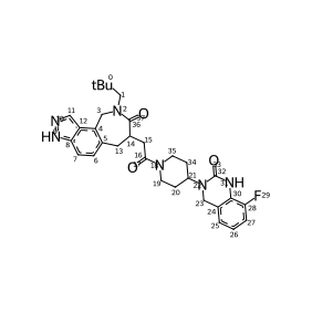 CC(C)(C)CN1Cc2c(ccc3[nH]ncc23)CC(CC(=O)N2CCC(N3Cc4cccc(F)c4NC3=O)CC2)C1=O